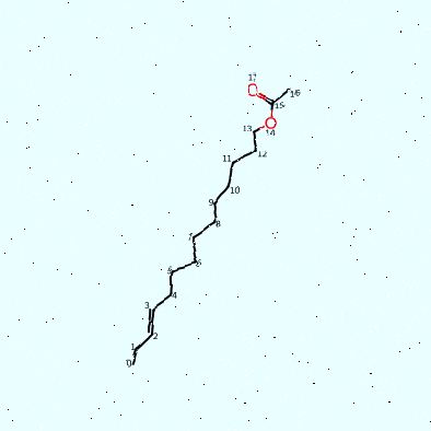 CCC=CCCCCCCCCCCOC(C)=O